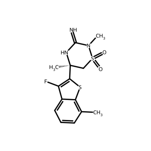 Cc1cccc2c(F)c([C@]3(C)CS(=O)(=O)N(C)C(=N)N3)sc12